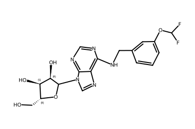 OC[C@H]1OC(n2cnc3c(NCc4cccc(OC(F)F)c4)ncnc32)[C@H](O)[C@@H]1O